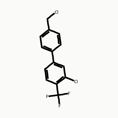 FC(F)(F)c1ccc(-c2ccc(CCl)cc2)cc1Cl